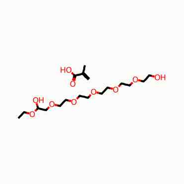 C=C(C)C(=O)O.CCOC(O)COCCOCCOCCOCCOCCO